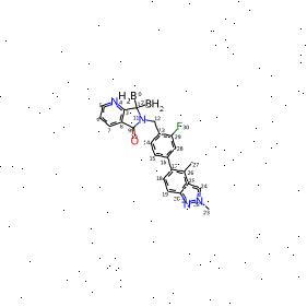 BC1(B)c2ncccc2C(=O)N1Cc1ccc(-c2ccc3nn(C)cc3c2C)cc1F